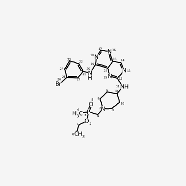 CCOP(C)(=O)CN1CCC(Nc2ncc3ncnc(Nc4cccc(Br)c4)c3n2)CC1